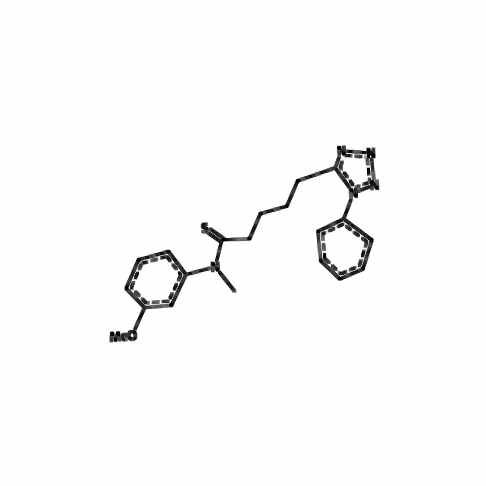 COc1cccc(N(C)C(=S)CCCCc2nnnn2-c2ccccc2)c1